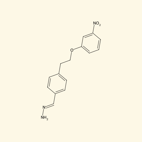 NN=Cc1ccc(CCOc2cccc([N+](=O)[O-])c2)cc1